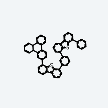 C1=CC2c3ccccc3-c3ccc(-c4cccc5c4sc4c(-c6cccc(-c7cccc8c7sc7c(-c9ccccc9)cccc78)c6)cccc45)cc3C2C=C1